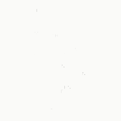 Cc1ccc(C(=O)C2=C(O)C(=O)N(c3nc4ccccc4[nH]3)C2c2cccc(F)c2F)o1